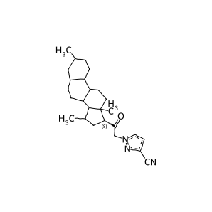 CC1CCC2C(CCC3C2CCC2(C)C3C(C)C[C@@H]2C(=O)Cn2ccc(C#N)n2)C1